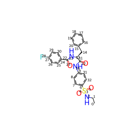 CCNS(=O)(=O)c1ccc(NC(=O)[C@H](Cc2ccccc2)NC(=O)c2ccc(F)cc2)cc1